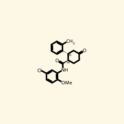 COc1ccc(Cl)cc1NC(=O)[C@@H]1CCC(=O)C[C@H]1c1ccccc1C